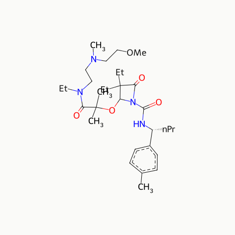 CCC[C@@H](NC(=O)N1C(=O)C(CC)(CC)C1OC(C)(C)C(=O)N(CC)CCN(C)CCOC)c1ccc(C)cc1